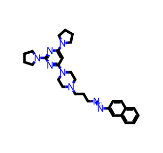 c1ccc2cc(/N=N/CCCN3CCN(c4cc(N5CCCC5)nc(N5CCCC5)n4)CC3)ccc2c1